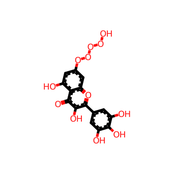 O=c1c(O)c(-c2cc(O)c(O)c(O)c2)oc2cc(OOOOO)cc(O)c12